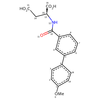 COc1ccc(-c2cccc(C(=O)N[C@@H](CC(=O)O)C(=O)O)c2)cc1